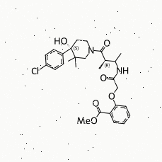 COC(=O)c1ccccc1OCC(=O)NC(C)[C@@H](C)C(=O)N1CC[C@](O)(c2ccc(Cl)cc2)C(C)(C)C1